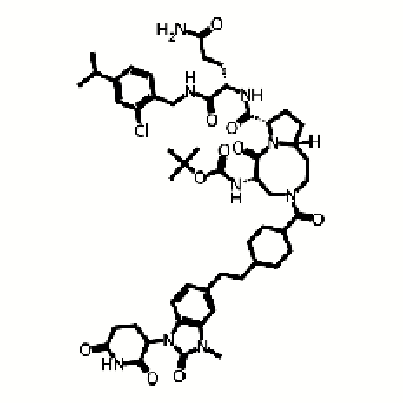 CC(C)c1ccc(CNC(=O)[C@H](CCC(N)=O)NC(=O)[C@@H]2CC[C@@H]3CCN(C(=O)C4CCC(CCc5ccc6c(c5)n(C)c(=O)n6C5CCC(=O)NC5=O)CC4)C[C@H](NC(=O)OC(C)(C)C)C(=O)N32)c(Cl)c1